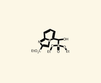 CCOC(=O)c1cn2c(C(O)P(=O)(OCC)OCC)cccc2n1